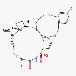 CO[C@H]1/C=C/CCN(C)C(=O)NS(=O)(=O)c2ccc3c(c2)N(CCCCc2cc(Cl)ccc2CO3)C[C@@H]2CC[C@H]21